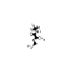 [2H]C([2H])([2H])NC(=O)/C(C)=N/C=C